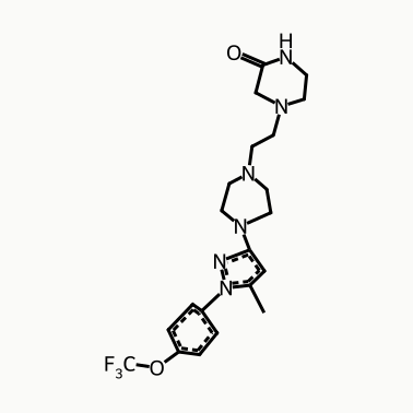 Cc1cc(N2CCN(CCN3CCNC(=O)C3)CC2)nn1-c1ccc(OC(F)(F)F)cc1